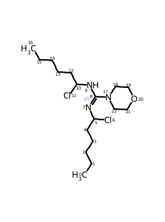 CCCCCC(Cl)/N=C(/NC(Cl)CCCCC)N1CCOCC1